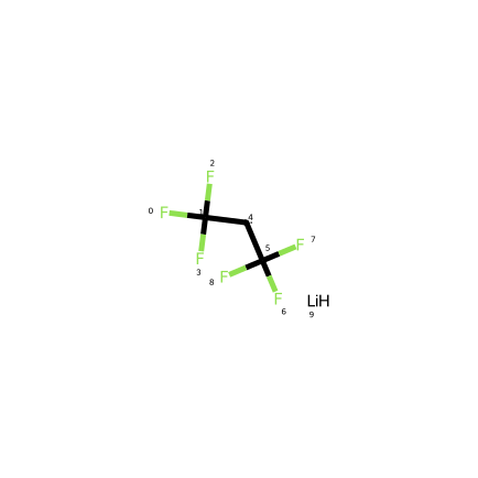 FC(F)(F)[CH]C(F)(F)F.[LiH]